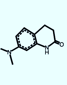 CN(C)c1ccc2c(c1)NC(=O)CC2